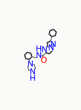 O=C(NCc1ccccc1N1CCNCC1)c1ccn2nc(-c3ccccc3)cc2n1